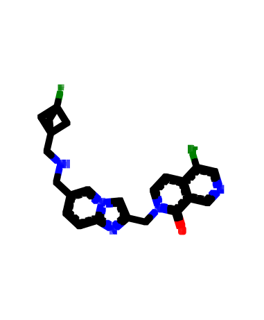 O=c1c2cncc(Br)c2ccn1Cc1cn2cc(CNCC34CC(F)(C3)C4)ccc2n1